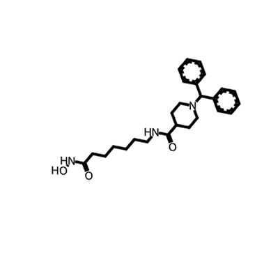 O=C(CCCCCCNC(=O)C1CCN(C(c2ccccc2)c2ccccc2)CC1)NO